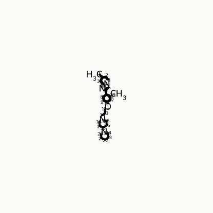 Cc1ccn2cc(-c3ccc(OCCCN4CCC(N5CCCCC5)CC4)cc3C)nc2c1